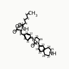 CCCCCC(=O)NC(Cc1ccc(N2CCN(c3ccc4c(c3)CCNCC4)C2=O)cc1)C(=O)O